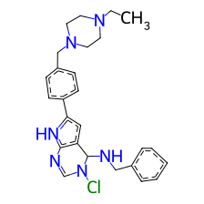 CCN1CCN(Cc2ccc(-c3cc4c([nH]3)N=CN(Cl)C4NCc3ccccc3)cc2)CC1